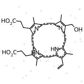 C=Cc1c(C)c2cc3nc(cc4nc(cc5[nH]c(cc1[nH]2)c(C)c5CCC(=O)O)C(CCC(=O)O)=C4C)C(C)=C3CO